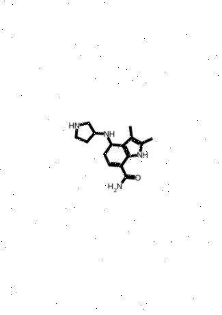 Cc1[nH]c2c(c1C)C(NC1CCNC1)CC=C2C(N)=O